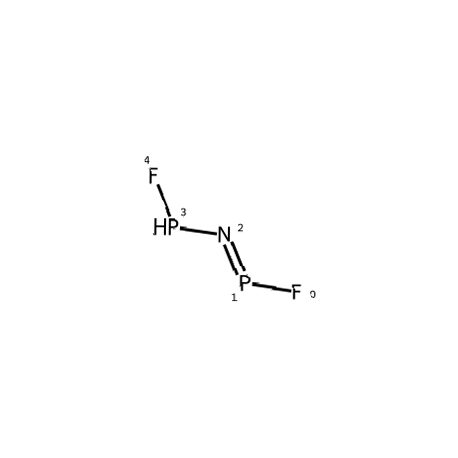 FP=NPF